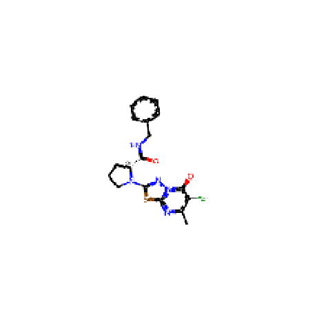 Cc1nc2sc(N3CCC[C@@H]3C(=O)NCc3ccccc3)nn2c(=O)c1Br